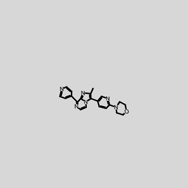 Cc1nc2c(-c3ccncc3)nccn2c1-c1ccc(N2CCOCC2)nc1